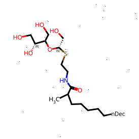 CCCCCCCCCCCCCCCC(C)C(=O)NCCS[C@@H](CO)OC(CO)[C@H](O)CO